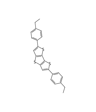 CCc1ccc(-c2cc3sc4cc(-c5ccc(CC)cc5)sc4c3s2)cc1